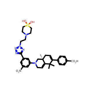 CC1(C)C(c2ccc(C(=O)O)cc2)=CC[C@]2(C)CN(c3cc(-c4nnn(CCN5CCS(O)(O)CC5)n4)cc([N+](=O)[O-])c3)CC=C12